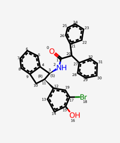 O=C(N[C@@H]1c2ccccc2C[C@@H]1c1ccc(O)c(Br)c1)C(c1ccccc1)c1ccccc1